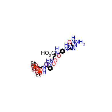 CCOP(=O)(OCC)OCC(CNC(=O)c1ccccc1NC(=O)NC(=O)CC[C@@H](NC(=O)c1ccc(NCc2cnc3nc(N)[nH]c(=O)c3n2)cc1)C(=O)O)OP(=O)(OCC)OCC